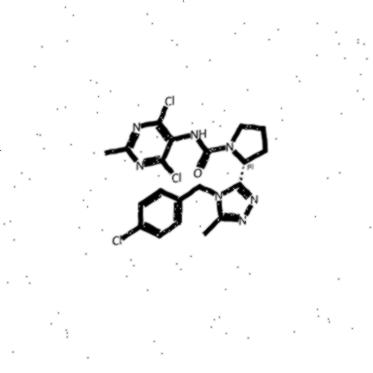 Cc1nc(Cl)c(NC(=O)N2CCC[C@@H]2c2nnc(C)n2Cc2ccc(Cl)cc2)c(Cl)n1